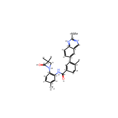 CNc1ncc2cc(-c3cc(C(=O)Nc4cc(C(F)(F)F)ccc4N4CC(C)(C)C4=O)ccc3C)ccc2n1